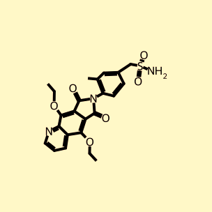 CCOc1c2c(c(OCC)c3ncccc13)C(=O)N(c1ccc(CS(N)(=O)=O)cc1C)C2=O